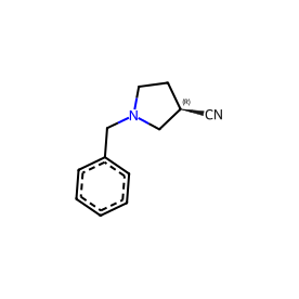 N#C[C@@H]1CCN(Cc2ccccc2)C1